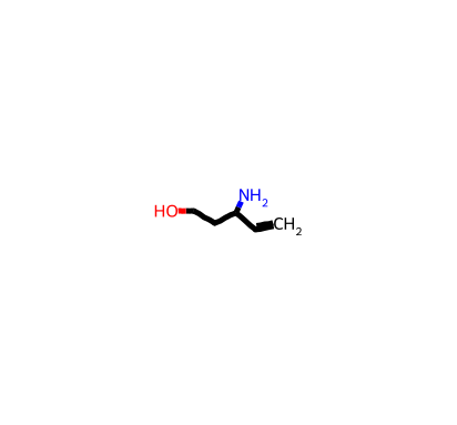 C=C[C](N)CCO